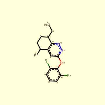 CC(=O)OCC1CCC(C(C)C)c2cc(Oc3c(F)cccc3F)nnc21